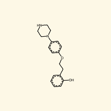 Oc1ccccc1CCOc1ccc(N2CCNCC2)cc1